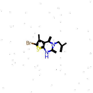 C=C(C)CN1C(=C)Nc2sc(Br)c(C)c2C1=C